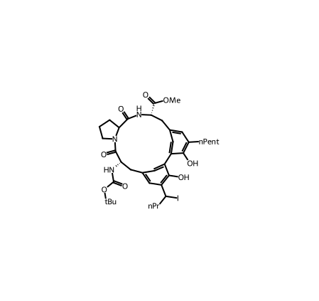 CCCCCc1cc2cc(c1O)-c1cc(cc(C(I)CCC)c1O)C[C@H](NC(=O)OC(C)(C)C)C(=O)N1CCCC1C(=O)N[C@H](C(=O)OC)C2